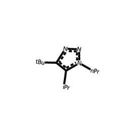 CCCn1nnc(C(C)(C)C)c1C(C)C